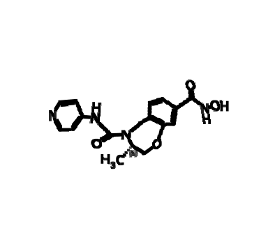 C[C@H]1COc2cc(C(=O)NO)ccc2CN1C(=O)Nc1ccncc1